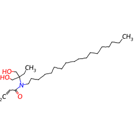 C=CC(=O)N(CCCCCCCCCCCCCCCCCC)C(CC)(CO)CO